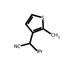 Cc1sccc1C(C#N)C(C)C